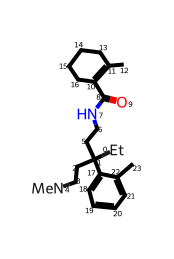 CCC(CCNC)(CCNC(=O)C1=C(C)CCCC1)c1ccccc1C